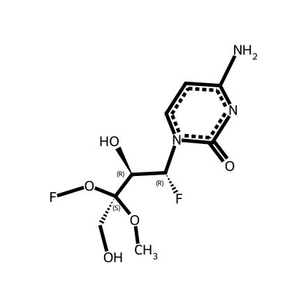 CO[C@@](CO)(OF)[C@@H](O)[C@@H](F)n1ccc(N)nc1=O